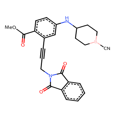 COC(=O)c1ccc(NC2CCB(C#N)CC2)cc1C#CCN1C(=O)c2ccccc2C1=O